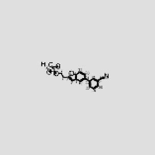 CS(=O)(=O)OCCc1cc2cc(-c3cccc(C#N)c3)ccc2o1